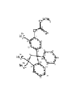 COC(=O)Oc1ccc(C2(c3ccccc3)CC(C)(C)c3ccccc32)cc1C